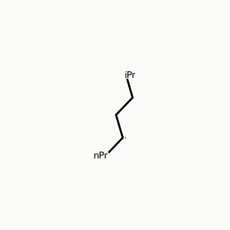 [CH2]C(C)CC[CH]CCC